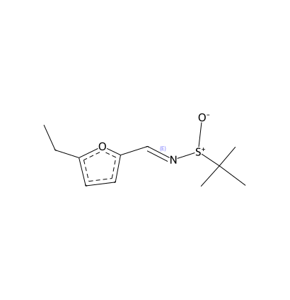 CCc1ccc(/C=N/[S+]([O-])C(C)(C)C)o1